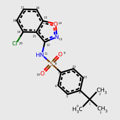 CC(C)(C)c1ccc(S(=O)(=O)Nc2noc3cccc(Cl)c23)cc1